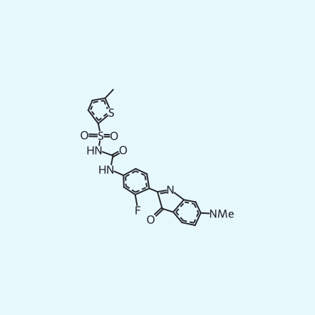 CNc1ccc2c(c1)N=C(c1ccc(NC(=O)NS(=O)(=O)c3ccc(C)s3)cc1F)C2=O